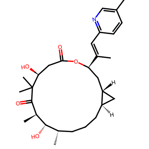 C/C(=C\c1ccc(C)cn1)[C@H]1C[C@@H]2C[C@H]2CCC[C@H](C)[C@H](O)[C@@H](C)C(=O)C(C)(C)[C@@H](O)CC(=O)O1